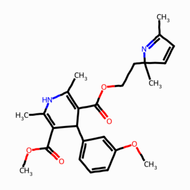 COC(=O)C1=C(C)NC(C)=C(C(=O)OCCC2(C)C=CC(C)=N2)C1c1cccc(OC)c1